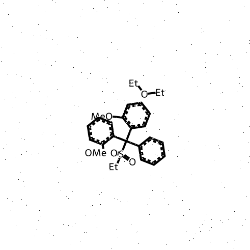 CCOCC.CCS(=O)(=O)C(c1ccccc1)(c1ccccc1OC)c1ccccc1OC